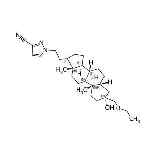 CCOC[C@@]1(O)CC[C@@]2(C)[C@H](CC[C@@H]3[C@@H]2CC[C@]2(C)[C@@H](CCn4ccc(C#N)n4)CC[C@@H]32)C1